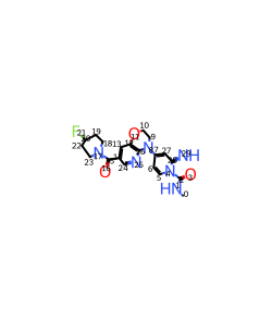 CNC(=O)n1ccc(N2CCOc3cc(C(=O)N4CCC(F)CC4)cnc32)cc1=N